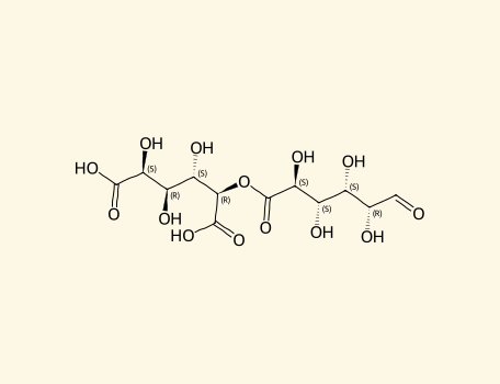 O=C[C@H](O)[C@@H](O)[C@H](O)[C@H](O)C(=O)O[C@@H](C(=O)O)[C@@H](O)[C@@H](O)[C@H](O)C(=O)O